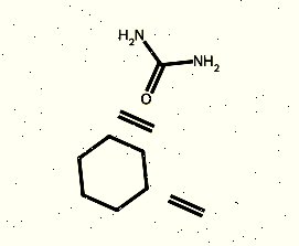 C1CCCCC1.C=C.C=C.NC(N)=O